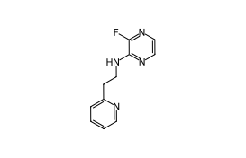 Fc1nccnc1NCCc1ccccn1